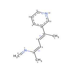 C=N/C(C)=C\C=C(/C)c1cccnc1